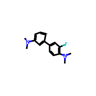 CN(C)c1cc[c]c(-c2ccc(N(C)C)c(F)c2)c1